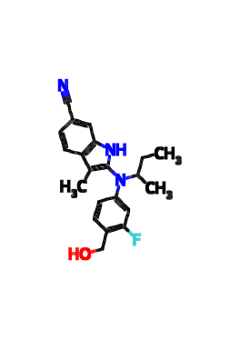 CCC(C)N(c1ccc(CO)c(F)c1)c1[nH]c2cc(C#N)ccc2c1C